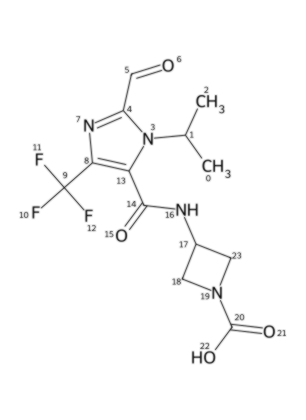 CC(C)n1c(C=O)nc(C(F)(F)F)c1C(=O)NC1CN(C(=O)O)C1